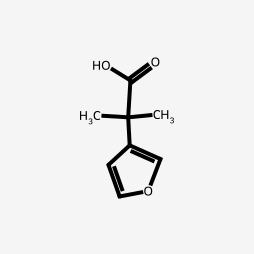 CC(C)(C(=O)O)c1ccoc1